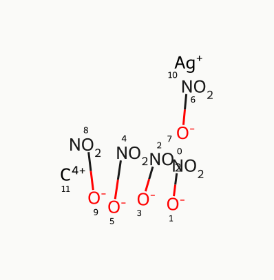 O=[N+]([O-])[O-].O=[N+]([O-])[O-].O=[N+]([O-])[O-].O=[N+]([O-])[O-].O=[N+]([O-])[O-].[Ag+].[C+4]